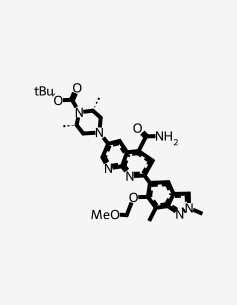 COCOc1c(-c2cc(C(N)=O)c3cc(N4C[C@@H](C)N(C(=O)OC(C)(C)C)[C@@H](C)C4)cnc3n2)cc2cn(C)nc2c1C